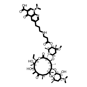 CC[C@H]1OC(=O)[C@H](C)[C@@H](O[C@H]2C[C@@](C)(OC)[C@@H](OC(=O)CCNCCCc3cnc4c(c3)c(=O)c(C(=O)O)cn4N(C)C)[C@H](C)O2)[C@H](C)[C@@H](O[C@@H]2O[C@H](C)C[C@H](N(C)C)[C@H]2O)[C@](C)(OC)C[C@@H](C)C(=O)C(C)[C@@H](O)[C@]1(C)O